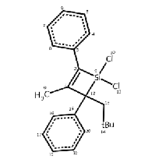 CC1=C(c2ccccc2)[Si](Cl)(Cl)C1(CC(C)(C)C)c1ccccc1